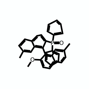 COc1ccc2ccc(C)cc2c1-c1c(P(=O)(c2ccccc2)c2ccccc2)ccc2ccc(C)cc12